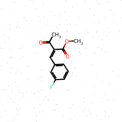 COC(=O)C(=Cc1cccc(F)c1)C(C)=O